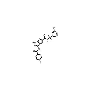 CC(C)(NC(=O)c1cc2c(NC(=O)c3ccc(F)cc3)n[nH]c2s1)c1cccc(Cl)c1